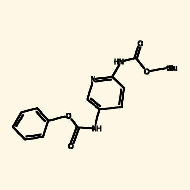 CC(C)(C)OC(=O)Nc1ccc(NC(=O)Oc2ccccc2)cn1